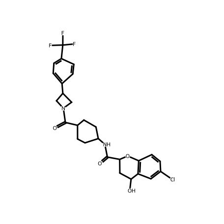 O=C(NC1CCC(C(=O)N2CC(c3ccc(C(F)(F)F)cc3)C2)CC1)C1CC(O)c2cc(Cl)ccc2O1